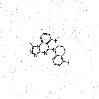 Cc1nnc2nc(N3CCCc4c(I)cccc43)c3c(F)cccc3n12